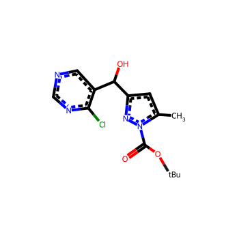 Cc1cc(C(O)c2cncnc2Cl)nn1C(=O)OC(C)(C)C